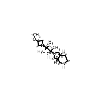 COC1CN(C(C)(C)C(C)(C)N2C[C@H]3CNCC[C@H]3C2)C1